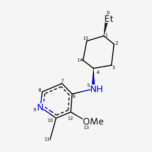 CC[C@H]1CC[C@@H](Nc2ccnc(C)c2OC)CC1